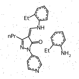 CCCC1=NN(c2ccncc2)C(=O)/C1=C\Nc1ccccc1CC.CCc1ccccc1N